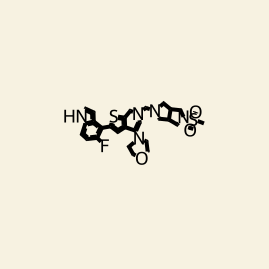 CS(=O)(=O)N1CC2CN(CN3C=C(N4CCOCC4)c4cc(-c5c(F)ccc6[nH]ccc56)sc4C3)CC2C1